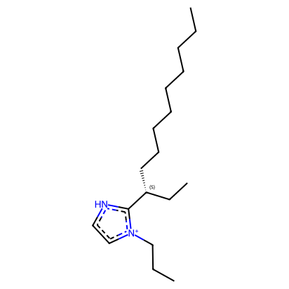 CCCCCCCCC[C@H](CC)c1[nH]cc[n+]1CCC